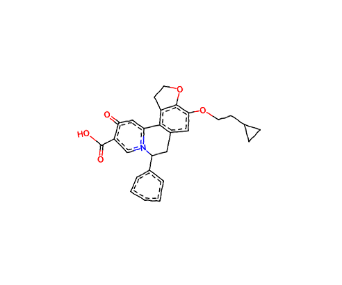 O=C(O)c1cn2c(cc1=O)-c1c(cc(OCCC3CC3)c3c1CCO3)CC2c1ccccc1